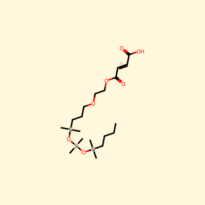 CCCC[Si](C)(C)O[Si](C)(C)O[Si](C)(C)CCCOCCOC(=O)/C=C/C(=O)O